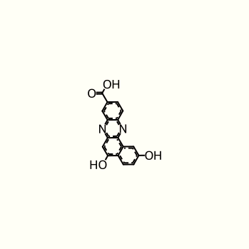 O=C(O)c1ccc2nc3c(cc(O)c4ccc(O)cc43)nc2c1